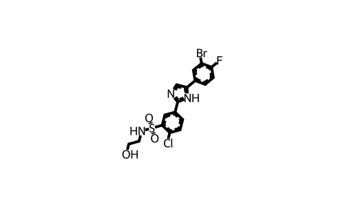 O=S(=O)(NCCO)c1cc(-c2ncc(-c3ccc(F)c(Br)c3)[nH]2)ccc1Cl